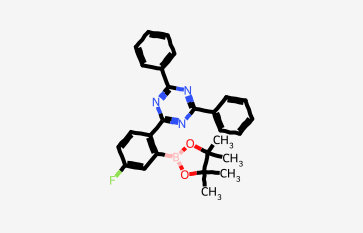 CC1(C)OB(c2cc(F)ccc2-c2nc(-c3ccccc3)nc(-c3ccccc3)n2)OC1(C)C